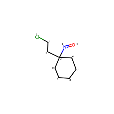 O=NC1(CCCl)CCCCC1